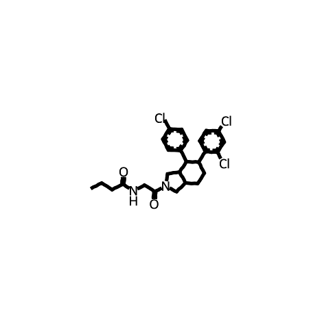 CCCC(=O)NCC(=O)N1CC2CCC(c3ccc(Cl)cc3Cl)C(c3ccc(Cl)cc3)C2C1